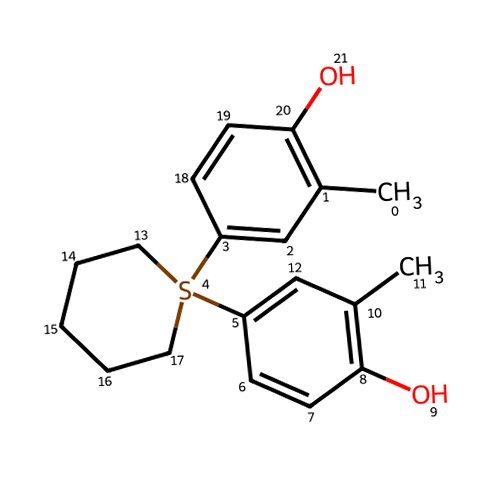 Cc1cc(S2(c3ccc(O)c(C)c3)CCCCC2)ccc1O